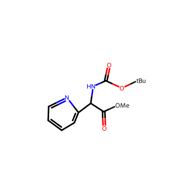 COC(=O)C(NC(=O)OC(C)(C)C)c1ccccn1